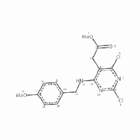 COC(=O)Cc1c(Cl)nc(Cl)nc1NCc1ccc(OC)cc1